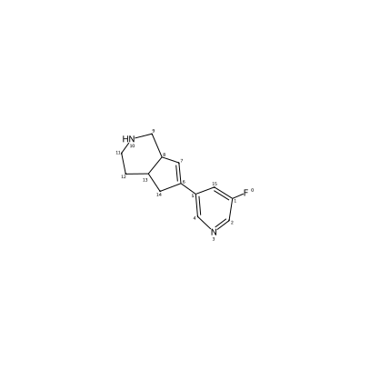 Fc1cncc(C2=CC3CNCCC3C2)c1